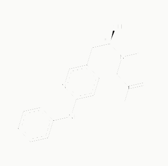 C[C@H](Cc1ccc(Nc2ccccc2)nc1)N(C)CC(=O)O